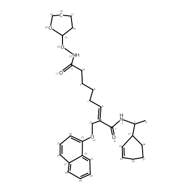 CC(NC(=O)/C(=C/CCCCC(=O)NOC1CCCCO1)COc1cccc2ccccc12)C1C=CCCC1